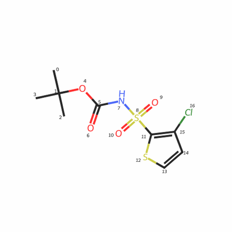 CC(C)(C)OC(=O)NS(=O)(=O)c1sccc1Cl